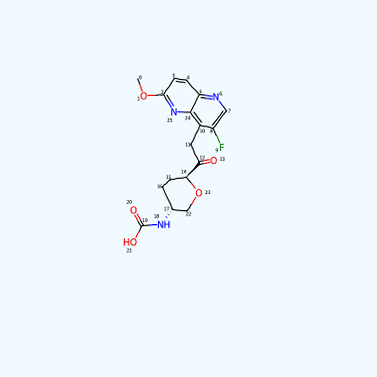 COc1ccc2ncc(F)c(CC(=O)[C@@H]3CC[C@@H](NC(=O)O)CO3)c2n1